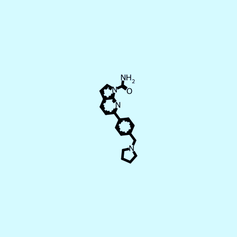 NC(=O)n1ccc2ccc(-c3ccc(CN4CCCC4)cc3)nc21